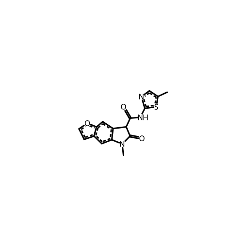 Cc1cnc(NC(=O)C2C(=O)N(C)c3cc4ccoc4cc32)s1